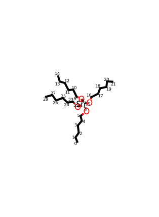 CCCCCC[O][Sn]([O]CCCCCC)([O]CCCCCC)[O]CCCCCC